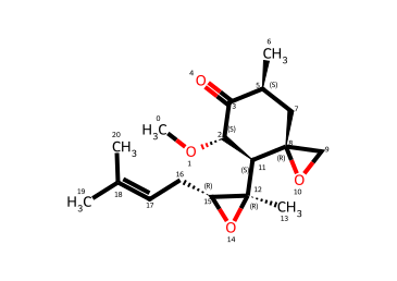 CO[C@@H]1C(=O)[C@@H](C)C[C@]2(CO2)[C@H]1[C@@]1(C)O[C@@H]1CC=C(C)C